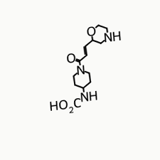 O=C(O)NC1CCN(C(=O)C=CC2CNCCO2)CC1